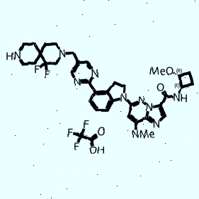 CNc1cc(N2CCc3c(-c4ncc(CN5CCC6(CCNCC6)C(F)(F)C5)cn4)cccc32)nn2c(C(=O)N[C@@H]3CC[C@H]3OC)cnc12.O=C(O)C(F)(F)F